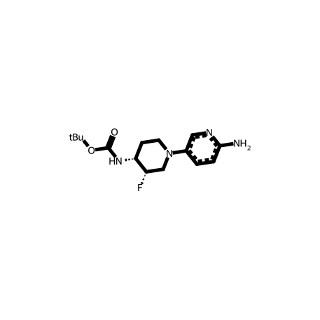 CC(C)(C)OC(=O)N[C@@H]1CCN(c2ccc(N)nc2)C[C@@H]1F